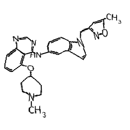 Cc1cc(Cn2ccc3cc(Nc4ncnc5cccc(OC6CCN(C)CC6)c45)ccc32)no1